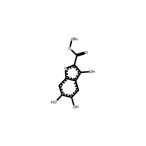 CCCCOC(=O)c1sc2cc(O)c(O)cc2c1O